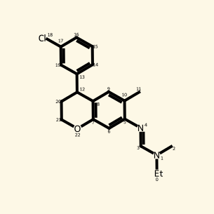 CCN(C)/C=N/c1cc2c(cc1C)C(c1cccc(Cl)c1)CCO2